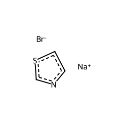 [Br-].[Na+].c1cscn1